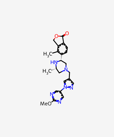 COc1ncc(-n2cc(CN3C[C@@H](c4ccc5c(c4C)COC5=O)N[C@@H](C)C3)cn2)cn1